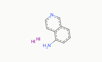 I.I.Nc1cccc2cnccc12